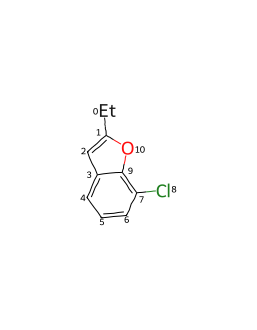 [CH2]Cc1cc2cccc(Cl)c2o1